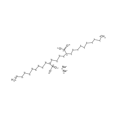 CCCCCCCCCCC(CCCCC(CCCCCCCCCC)C(=O)[O-])C(=O)[O-].[Na+].[Na+]